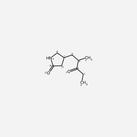 CCC(=O)C(C)CC1CNC(=O)C1